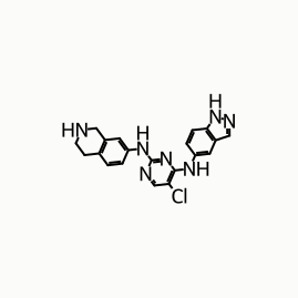 Clc1cnc(Nc2ccc3c(c2)CNCC3)nc1Nc1ccc2[nH]ncc2c1